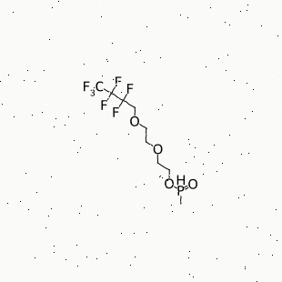 C[PH](=O)OCCOCCOCC(F)(F)C(F)(F)C(F)(F)F